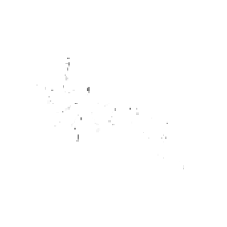 CC(C)CN1CCC(O)(COc2ccc(-c3c(Cl)sc4[nH]c(=O)c(C#N)c(O)c34)cc2)CC1